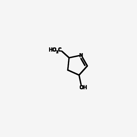 O=C(O)C1CC(O)C=N1